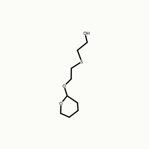 OCCSCCOC1CCCCO1